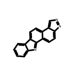 C1=c2c(ccc3c4c(ccc23)-c2ccccc2N=4)N=N1